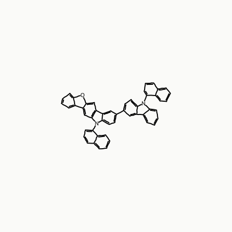 c1ccc2c(-n3c4ccccc4c4cc(-c5ccc6c(c5)c5cc7oc8ccccc8c7cc5n6-c5cccc6ccccc56)ccc43)cccc2c1